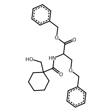 O=C(OCc1ccccc1)C(COCc1ccccc1)NC(=O)C1(CO)CCCCC1